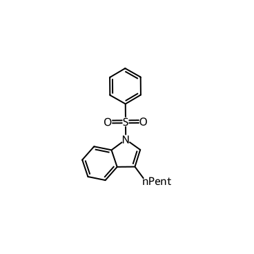 CCCCCc1cn(S(=O)(=O)c2ccccc2)c2ccccc12